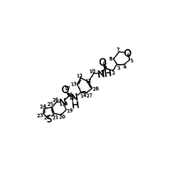 O=C(CC1CCOCC1)NCc1ccc(NC(=O)N2CCc3sccc3C2)cc1